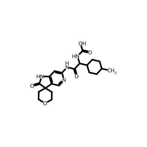 CC1CCC(C(NC(=O)O)C(=O)Nc2cc3c(cn2)C2(CCOCC2)C(=O)N3)CC1